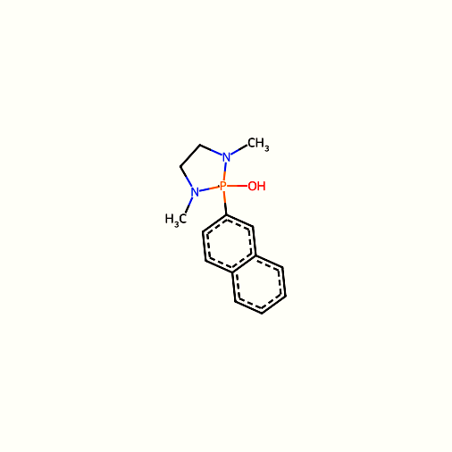 CN1CCN(C)[P]1(O)c1ccc2ccccc2c1